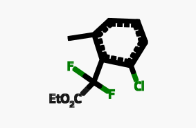 CCOC(=O)C(F)(F)c1c(C)cccc1Cl